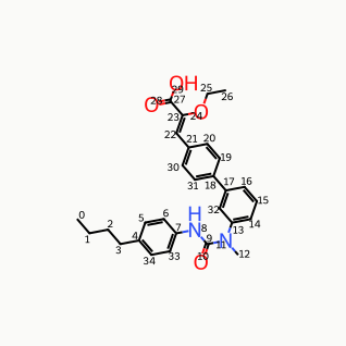 CCCCc1ccc(NC(=O)N(C)c2cccc(-c3ccc(/C=C(\OCC)C(=O)O)cc3)c2)cc1